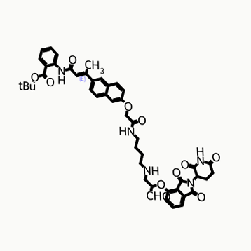 C/C(=C\C(=O)Nc1ccccc1C(=O)OC(C)(C)C)c1ccc2cc(OCC(=O)NCCCCNCC(C=O)Oc3cccc4c3C(=O)N(C3CCC(=O)NC3=O)C4=O)ccc2c1